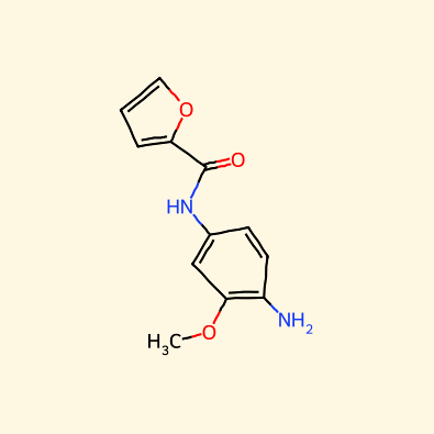 COc1cc(NC(=O)c2ccco2)ccc1N